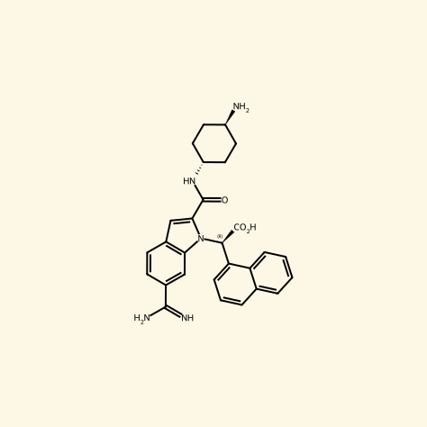 N=C(N)c1ccc2cc(C(=O)N[C@H]3CC[C@H](N)CC3)n([C@@H](C(=O)O)c3cccc4ccccc34)c2c1